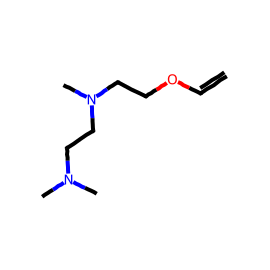 C=COCCN(C)CCN(C)C